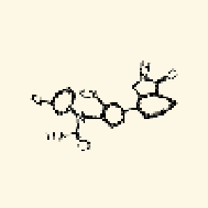 NC(=O)N(c1cccc(Cl)c1)c1ccc(-c2cccc3c2CNC3=O)cc1Cl